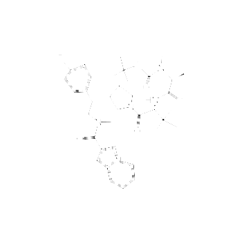 C[C@@H](C(=O)N[C@H](C(=O)N1CCC[C@H]1CN(CCc1ccc(F)cc1)C(=O)c1cc2ccccn2c1)C(C)(C)C)N(C)C(=O)OC(C)(C)C